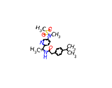 CC(C)c1ccc(CC(=O)N[C@H](C)c2ccc(N(C)S(C)(=O)=O)cn2)cc1